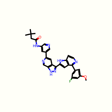 COc1cc(F)cc(-c2nccc3[nH]c(-c4n[nH]c5cnc(-c6cncc(NC(=O)CC(C)(C)C)c6)cc45)cc23)c1